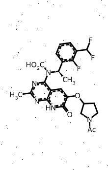 CC(=O)N1CCC(Oc2cc3c(N(C(=O)O)[C@H](C)c4cccc(C(F)F)c4F)nc(C)nc3[nH]c2=O)C1